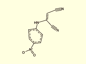 N#CC=C(C#N)Nc1ccc([N+](=O)[O-])cc1